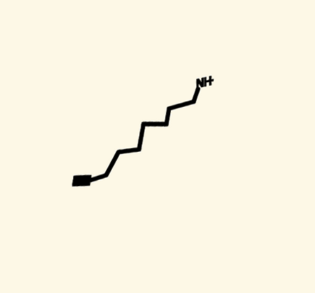 C#CCCCCCCC[NH]